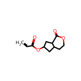 C=CC(=O)OC1CC2CCOC(=O)C2C1